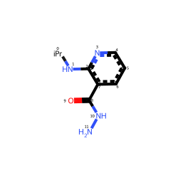 CC(C)Nc1ncccc1C(=O)NN